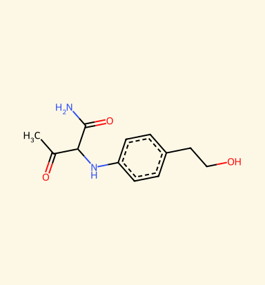 CC(=O)C(Nc1ccc(CCO)cc1)C(N)=O